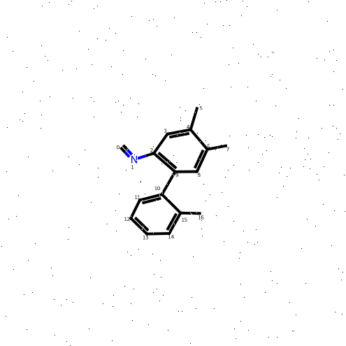 C=Nc1cc(C)c(C)cc1-c1ccccc1C